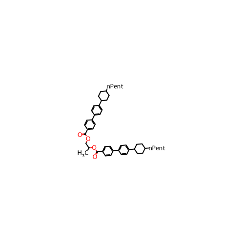 CCCCCC1CCC(c2ccc(-c3ccc(C(=O)OCC(C)OC(=O)c4ccc(-c5ccc(C6CCC(CCCCC)CC6)cc5)cc4)cc3)cc2)CC1